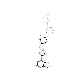 COc1cc(-c2cn(Cc3ccc(N4CCC[C@@H](NCC(C)C)C4)nn3)nn2)c2cn[nH]c2c1